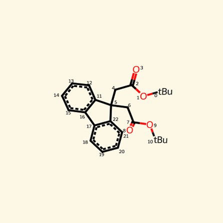 CC(C)(C)OC(=O)CC1(CC(=O)OC(C)(C)C)c2ccccc2-c2ccccc21